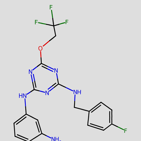 Nc1cccc(Nc2nc(NCc3ccc(F)cc3)nc(OCC(F)(F)F)n2)c1